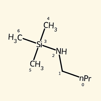 CCCCN[Si](C)(C)C